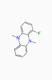 CN1c2ccccc2N(C)c2c(F)cccc21